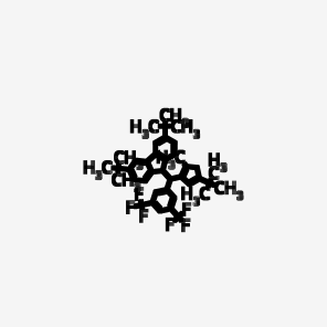 CC1=C(C(c2cc(C(F)(F)F)cc(C(F)(F)F)c2)C2c3ccc(C(C)(C)C)cc3-c3cc(C(C)(C)C)ccc32)C=C(C(C)(C)C)C1